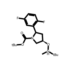 C[SiH](O[C@@H]1CC(c2cc(F)ccc2F)N(C(=O)OC(C)(C)C)C1)C(C)(C)C